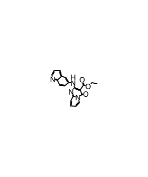 CCOC(=O)c1c(Nc2ccc3ncccc3c2)nc2ccccn2c1=O